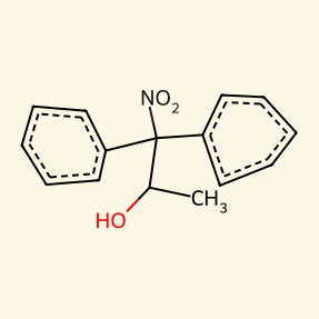 CC(O)C(c1ccccc1)(c1ccccc1)[N+](=O)[O-]